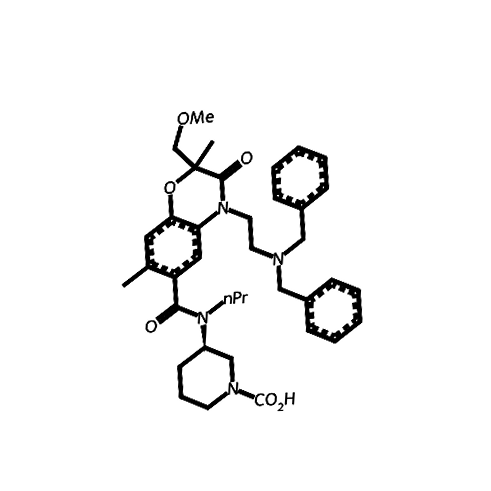 CCCN(C(=O)c1cc2c(cc1C)OC(C)(COC)C(=O)N2CCN(Cc1ccccc1)Cc1ccccc1)[C@@H]1CCCN(C(=O)O)C1